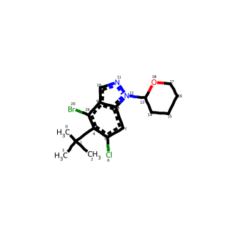 CC(C)(C)c1c(Cl)cc2c(cnn2C2CCCCO2)c1Br